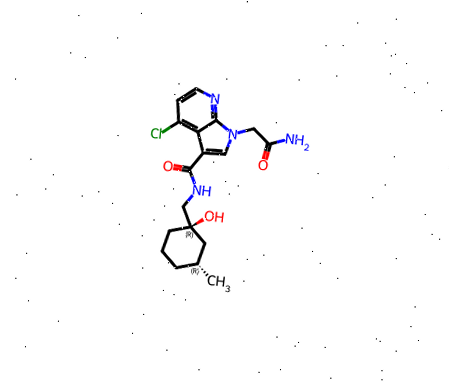 C[C@@H]1CCC[C@](O)(CNC(=O)c2cn(CC(N)=O)c3nccc(Cl)c23)C1